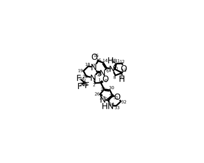 O=C(CN1c2nc(N3C[C@@H]4C[C@H]3CO4)cc(=O)n2CC[C@H]1C(F)(F)F)c1cnc2c(c1)OCCN2